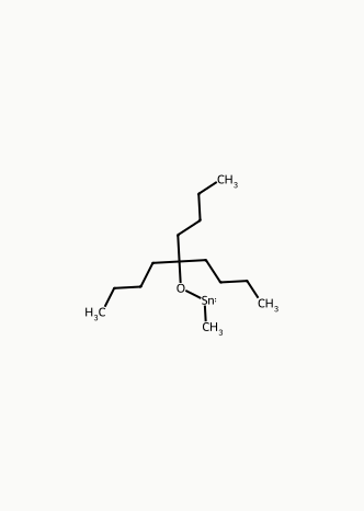 CCCCC(CCCC)(CCCC)[O][Sn][CH3]